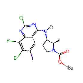 CCN(c1nc(Cl)nc2c(F)c(Br)c(I)cc12)[C@@H]1CCN(C(=O)OC(C)(C)C)[C@@H]1C